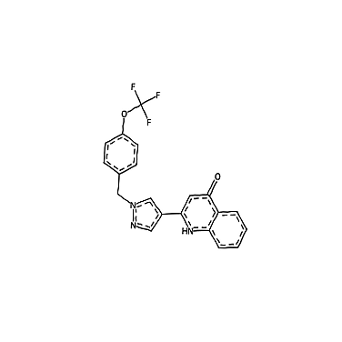 O=c1cc(-c2cnn(Cc3ccc(OC(F)(F)F)cc3)c2)[nH]c2ccccc12